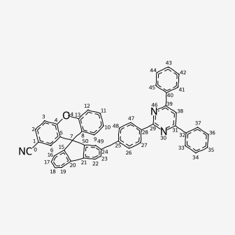 N#Cc1ccc2c(c1)C1(c3ccccc3O2)c2ccccc2-c2ccc(-c3ccc(-c4nc(-c5ccccc5)cc(-c5ccccc5)n4)cc3)cc21